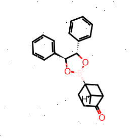 C[C@H]1C2C[C@@]1(B1O[C@@H](c3ccccc3)[C@H](c3ccccc3)O1)CCC2=O